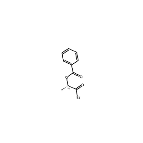 CCC(=O)[C@H](C)OC(=O)c1ccccc1